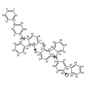 c1ccc(-c2ccc(-n3c4ccccc4c4c5c(ccc43)Sc3c(ccc4c3c3ccccc3n4-c3ccc4oc6ccccc6c4c3)S5)cc2)cc1